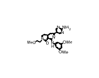 COCCn1ccc2cc(-c3cnc(N)nc3)nc(Nc3cc(OC)cc(OC)c3)c2c1=O